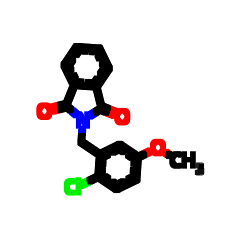 COc1ccc(Cl)c(CN2C(=O)c3ccccc3C2=O)c1